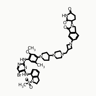 COc1cc(N2CCC(N3CCN(CC4CN(c5ccc6c(c5)C(=O)N(C5CCC(=O)NC5=O)C6)C4)CC3)CC2)c(C)cc1Nc1ncc(Br)c(Nc2cccc3c2N(S(C)(=O)=O)CC3)n1